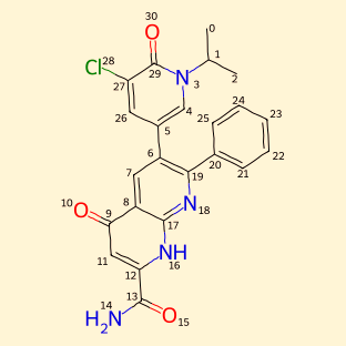 CC(C)n1cc(-c2cc3c(=O)cc(C(N)=O)[nH]c3nc2-c2ccccc2)cc(Cl)c1=O